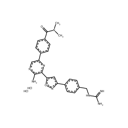 CN(C)C(=O)c1ccc(-c2cnc(N)c(-c3cc(-c4ccc(CNC(=N)N)cc4)no3)n2)cc1.Cl.Cl